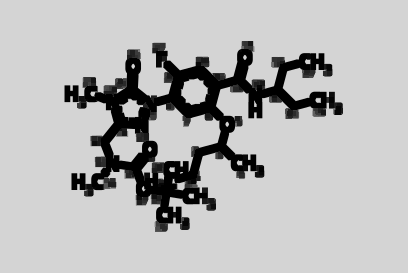 CCCC(C)Oc1cc(-n2nc(CN(C)C(=O)OC(C)(C)C)n(C)c2=O)c(F)cc1C(=O)NC(CC)CC